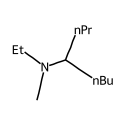 CCCCC(CCC)N(C)CC